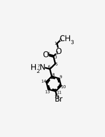 CCOC(=O)CC(N)c1ccc(Br)cc1